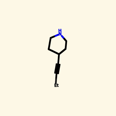 [CH2]CC#CC1CCNCC1